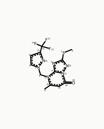 CSc1nc2n(Cn3ccc(C(F)(F)F)n3)c(C)cc(=O)n2n1